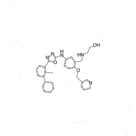 Cc1c(-c2ccccc2)cccc1-c1nnc(Nc2ccc(OCc3cccnc3)c(CNCCO)c2)o1